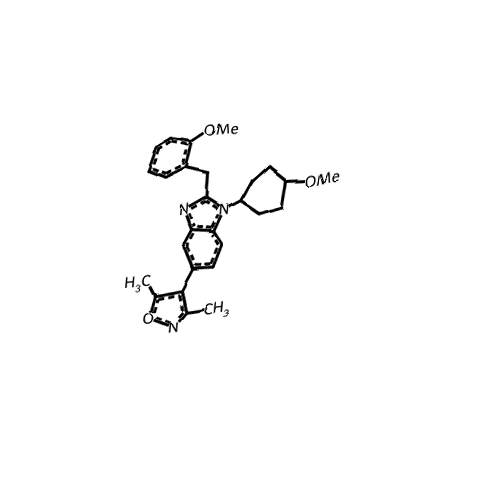 COc1ccccc1Cc1nc2cc(-c3c(C)noc3C)ccc2n1C1CCC(OC)CC1